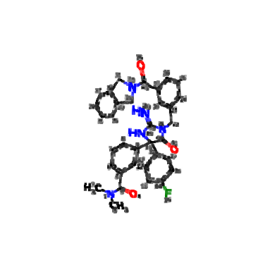 CN(C)C(=O)c1cccc(C2(c3ccc(F)cc3)NC(=N)N(Cc3cccc(C(=O)N4Cc5ccccc5C4)c3)C2=O)c1